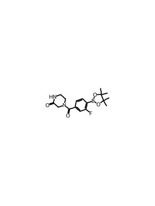 CC1(C)OB(c2ccc(C(=O)N3CCNC(=O)C3)cc2F)OC1(C)C